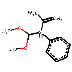 C=C(C)[SiH](c1ccccc1)C(OC)OC